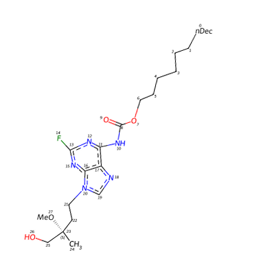 CCCCCCCCCCCCCCCCOC(=O)Nc1nc(F)nc2c1ncn2CC[C@@](C)(CO)OC